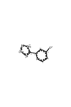 [O]c1cccc(-c2nnn[nH]2)c1